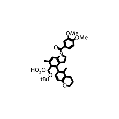 COc1ccc(C(=O)N2CCc3c2cc(C)c([C@H](OC(C)(C)C)C(=O)O)c3-c2ccc3c(c2C)CCCO3)cc1OC